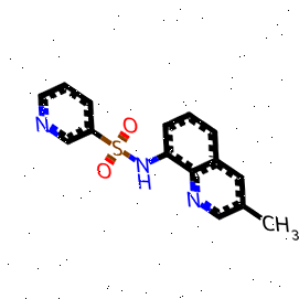 Cc1cnc2c(NS(=O)(=O)c3cccnc3)cccc2c1